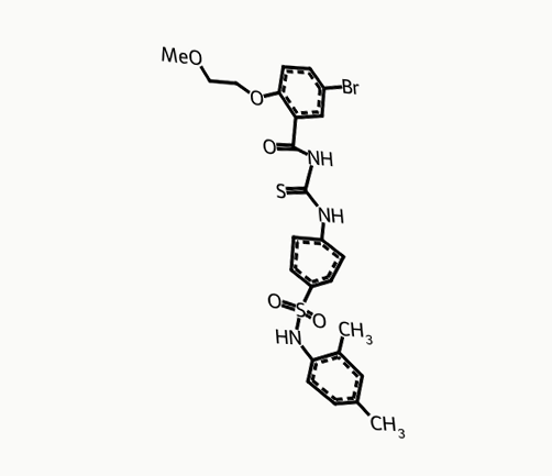 COCCOc1ccc(Br)cc1C(=O)NC(=S)Nc1ccc(S(=O)(=O)Nc2ccc(C)cc2C)cc1